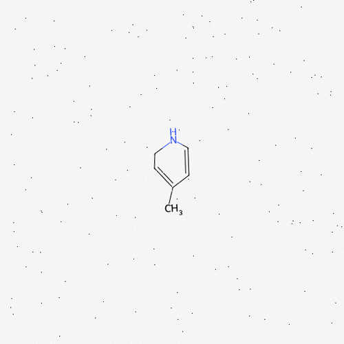 CC1=CCNC=C1